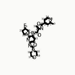 Cc1cc(-c2nc(C(=O)Nc3cc4oc(N5CCOCC5)nc4nc3N3CCC(F)C3)co2)ccn1